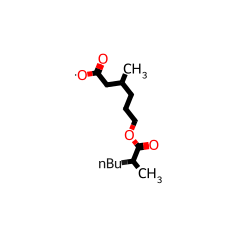 CCCCC(C)C(=O)OCCCC(C)CC([O])=O